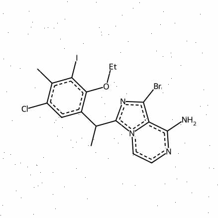 CCOc1c(C(C)c2nc(Br)c3c(N)nccn23)cc(Cl)c(C)c1I